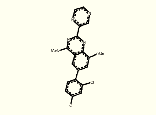 CNc1nc(-c2cnccn2)nc2c(OC)cc(-c3ccc(Cl)cc3Cl)cc12